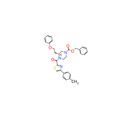 Cc1ccc(-c2csc(C(=O)N3CCN(C(=O)OCc4ccccc4)C[C@@H]3CCOc3ccccc3)n2)cc1